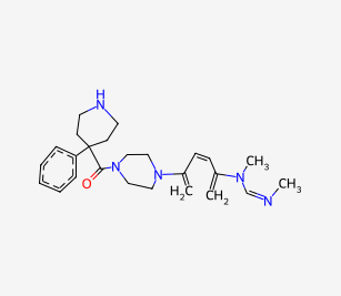 C=C(/C=C\C(=C)N1CCN(C(=O)C2(c3ccccc3)CCNCC2)CC1)N(C)/C=N\C